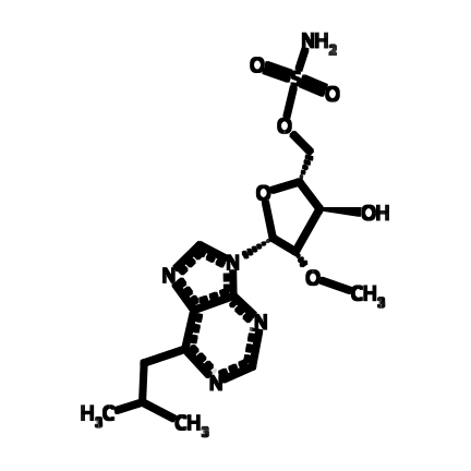 CO[C@H]1[C@H](O)[C@@H](COS(N)(=O)=O)O[C@H]1n1cnc2c(CC(C)C)ncnc21